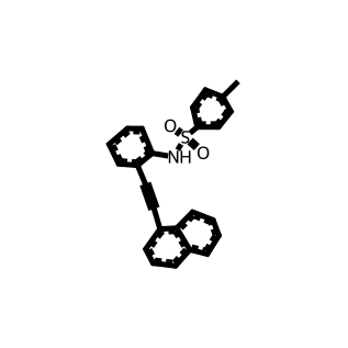 Cc1ccc(S(=O)(=O)Nc2ccccc2C#Cc2cccc3ccccc23)cc1